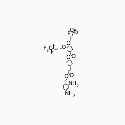 Nc1ccc(CCOC(=O)C=Cc2ccc(OC(=O)c3ccc(OCCCC(F)(F)C(F)(F)F)c(OCCCC(F)(F)C(F)(F)F)c3)cc2)c(N)c1